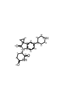 O=C1CCC(N2C(=O)C3(CC3)c3cc(C4CCNCC4)ccc32)C(=O)N1